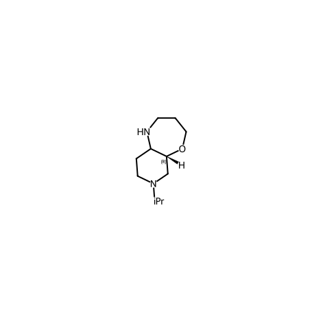 CC(C)N1CCC2NCCCO[C@@H]2C1